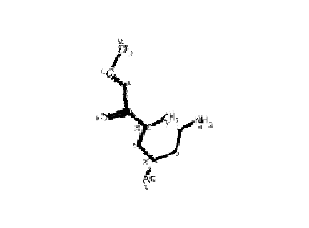 CC(=O)[C@@H](CCN)C[C@H](C)C(=O)COC(F)(F)F